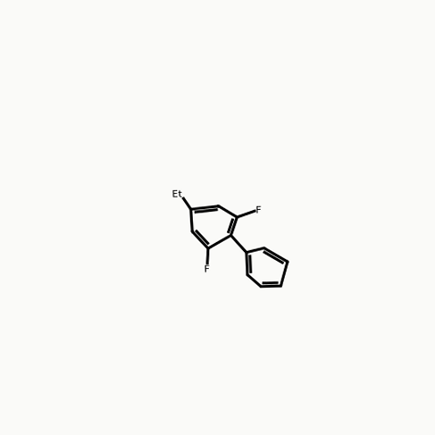 CCc1cc(F)c(-c2ccccc2)c(F)c1